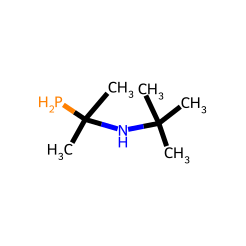 CC(C)(C)NC(C)(C)P